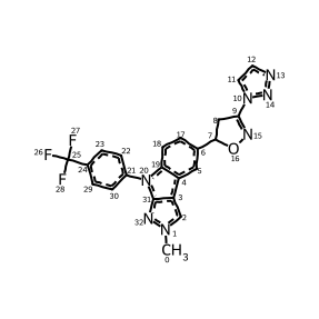 Cn1cc2c3cc(C4CC(n5ccnn5)=NO4)ccc3n(-c3ccc(C(F)(F)F)cc3)c2n1